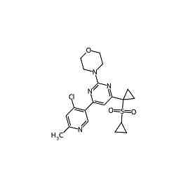 Cc1cc(Cl)c(-c2cc(C3(S(=O)(=O)C4CC4)CC3)nc(N3CCOCC3)n2)cn1